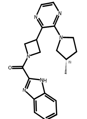 C[C@H]1CCN(c2nccnc2C2CN(C(=O)c3nc4ccccc4[nH]3)C2)C1